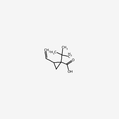 C=CC1CC1(C(=O)O)C(C)(C)C